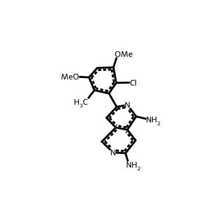 COc1cc(OC)c(Cl)c(-c2cc3cnc(N)cc3c(N)n2)c1C